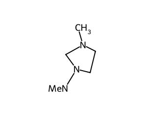 CNN1CCN(C)C1